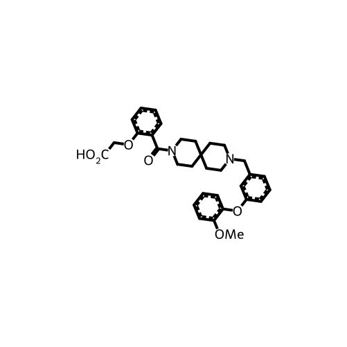 COc1ccccc1Oc1cccc(CN2CCC3(CC2)CCN(C(=O)c2ccccc2OCC(=O)O)CC3)c1